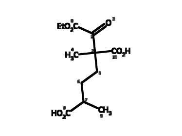 CCOC(=O)C(=O)C(C)(CCC(C)C(=O)O)C(=O)O